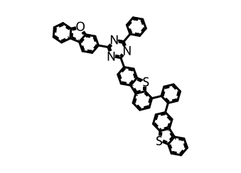 c1ccc(-c2nc(-c3ccc4c(c3)oc3ccccc34)nc(-c3ccc4c(c3)sc3c(-c5ccccc5-c5ccc6sc7ccccc7c6c5)cccc34)n2)cc1